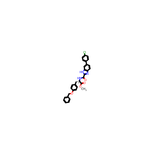 COC(=O)[C@H](Cc1ccc(OCc2ccccc2)cc1)NC(=O)c1nc2ccc(-c3ccc(Cl)cc3)cc2[nH]1